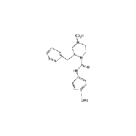 COc1ccc(NC(=O)N2CCN(C(=O)O)CC2Cc2cccnc2)cc1